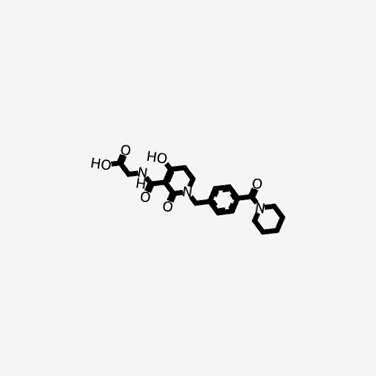 O=C(O)CNC(=O)C1=C(O)CCN(Cc2ccc(C(=O)N3CCCCC3)cc2)C1=O